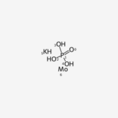 O=P(O)(O)O.[KH].[Mo]